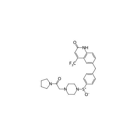 O=C(CN1CCN([S+]([O-])c2ccc(Cc3ccc4[nH]c(=O)cc(C(F)(F)F)c4c3)cc2)CC1)N1CCCC1